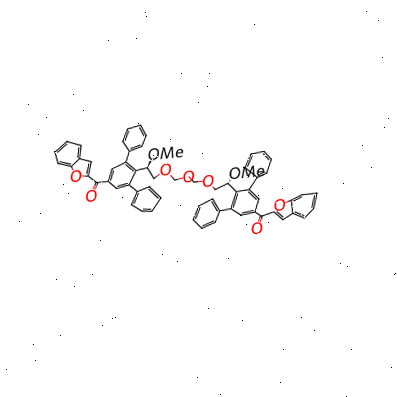 CO[C@@H](COCOCOC[C@H](OC)c1c(-c2ccccc2)cc(C(=O)c2cc3ccccc3o2)cc1-c1ccccc1)c1c(-c2ccccc2)cc(C(=O)c2cc3ccccc3o2)cc1-c1ccccc1